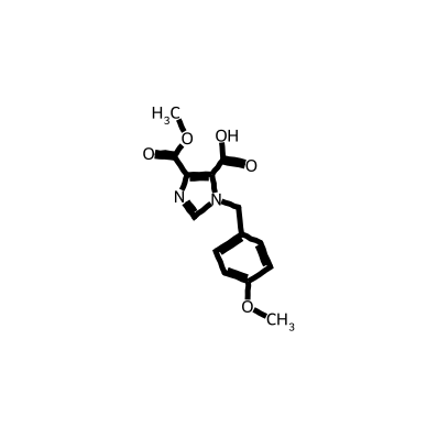 COC(=O)c1ncn(Cc2ccc(OC)cc2)c1C(=O)O